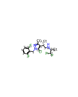 CCOC(=O)c1nn(Cc2c(F)cccc2F)c(Cl)c1CCNC(CC)C(F)F